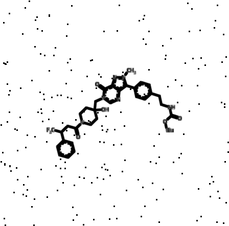 Cn1nc2c(=O)n(CC3(O)CCN(C(=O)CC(c4ccccc4)C(F)(F)F)CC3)cnc2c1-c1ccc(CCNC(=O)OC(C)(C)C)cc1